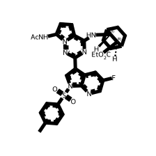 CCOC(=O)[C@@H]1C2CCC(CC2)[C@H]1Nc1nc(-c2cn(S(=O)(=O)c3ccc(C)cc3)c3ncc(F)cc23)nn2c(NC(C)=O)ccc12